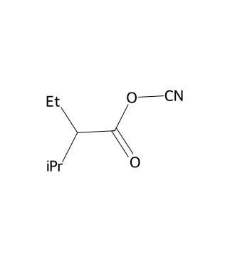 CCC(C(=O)OC#N)C(C)C